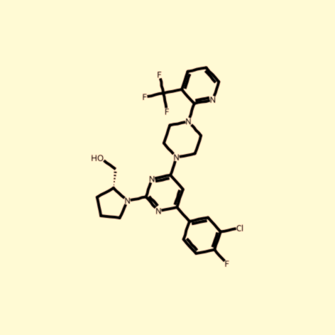 OC[C@H]1CCCN1c1nc(-c2ccc(F)c(Cl)c2)cc(N2CCN(c3ncccc3C(F)(F)F)CC2)n1